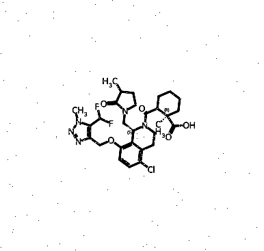 CC1CCN(C[C@@H]2c3c(OCc4nnn(C)c4C(F)F)ccc(Cl)c3CCN2C(=O)C2CCCC[C@@]2(C)C(=O)O)C1=O